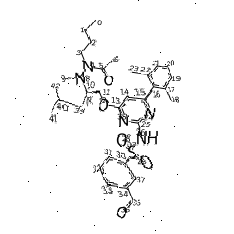 CCCCN(C(C)=O)N(C)[C@@H](COc1cc(-c2c(C)cccc2C)nc(NS(=O)(=O)c2cccc(C=O)c2)n1)CC(C)C